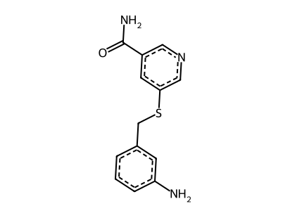 NC(=O)c1cncc(SCc2cccc(N)c2)c1